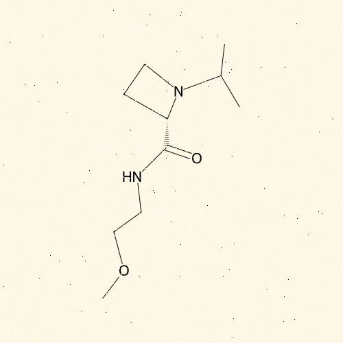 COCCNC(=O)[C@@H]1CCN1C(C)C